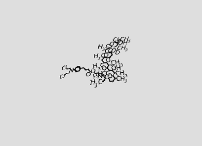 CCC(C(=O)NCCOC(=O)CCCc1ccc(N(CCCl)CCCl)cc1)[C@H]1CC[C@H](C)[C@H](C(C)C(O)[C@H](C)C(=O)[C@H](CC)[C@H]2O[C@]3(C=C[C@@H](OC(C)=O)[C@]4(CC[C@@](C)([C@H]5CC[C@](O)(CC)C(C)O5)O4)O3)C(C)CC2C)O1